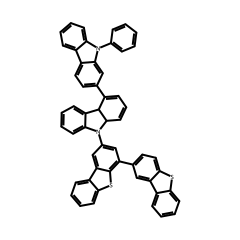 C1=CC2C(C(c3ccc4c5ccccc5n(-c5ccccc5)c4c3)=C1)c1ccccc1N2c1cc(-c2ccc3sc4ccccc4c3c2)c2sc3ccccc3c2c1